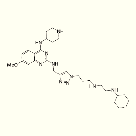 COc1ccc2c(NC3CCNCC3)nc(NCc3cn(CCCNCCNC4CCCCC4)nn3)nc2c1